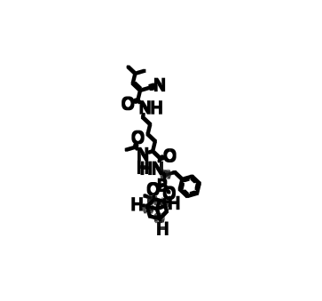 CC(=O)NC(CCCCNC(=O)C(C#N)=CC(C)C)C(=O)N[C@@H](Cc1ccccc1)B1O[C@@H]2C[C@@H]3C[C@@H](C3(C)C)[C@]2(C)O1